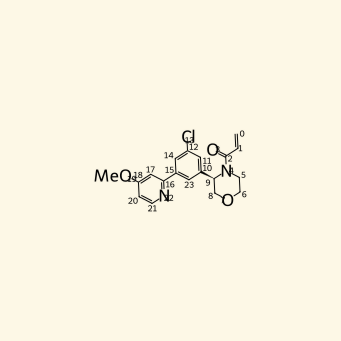 C=CC(=O)N1CCOC[C@H]1c1cc(Cl)cc(-c2cc(OC)ccn2)c1